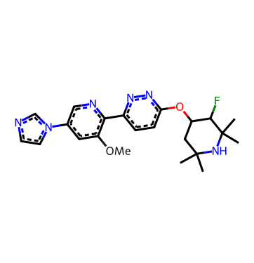 COc1cc(-n2ccnc2)cnc1-c1ccc(OC2CC(C)(C)NC(C)(C)C2F)nn1